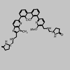 COc1nc(-c2cccc(-c3cccc(-c4ccc5nc(CNC[C@H]6CCC(=O)N6)n(C)c5n4)c3Cl)c2Cl)ccc1CNC[C@H]1CCC(=O)N1